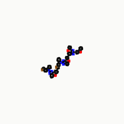 c1ccc2c(c1)Oc1cc(-c3ccc4c(c3)Oc3cccc5nc(-n6c7ccccc7c7cc8sc(-c9ccc%10c(c9)-c9nc(-n%11c%12ccccc%12c%12c%13ccsc%13ccc%12%11)nc%11cccc(c9%11)O%10)cc8cc76)nc-4c35)cc3nc(-c4ccc5oc6ccccc6c5c4)nc-2c13